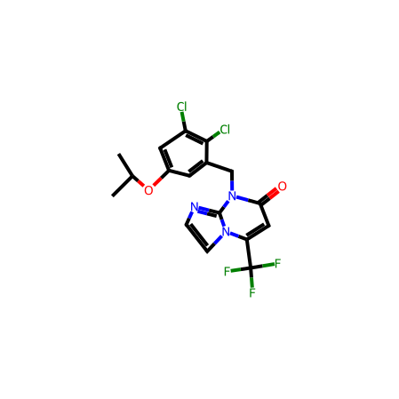 CC(C)Oc1cc(Cl)c(Cl)c(Cn2c(=O)cc(C(F)(F)F)n3ccnc23)c1